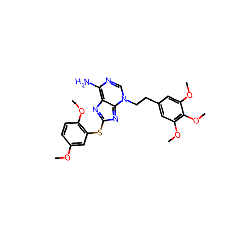 COc1ccc(OC)c(Sc2nc3c(N)ncn(CCc4cc(OC)c(OC)c(OC)c4)c-3n2)c1